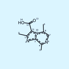 Cc1nc2c(C)ncc(C)n2c1C(=O)O